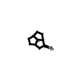 C=C1CC2CCC3CCC1C32